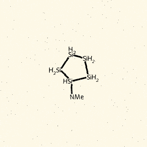 CN[SiH]1[SiH2][SiH2][SiH2][SiH2]1